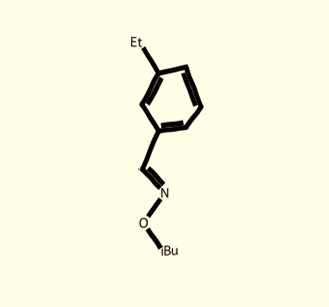 CCc1cccc(/[C]=N/OC(C)CC)c1